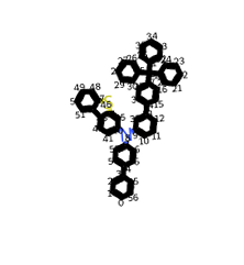 c1ccc(-c2ccc(N(c3cccc(-c4ccc(C(c5ccccc5)(c5ccccc5)c5ccccc5)cc4)c3)c3ccc4c(c3)sc3ccccc34)cc2)cc1